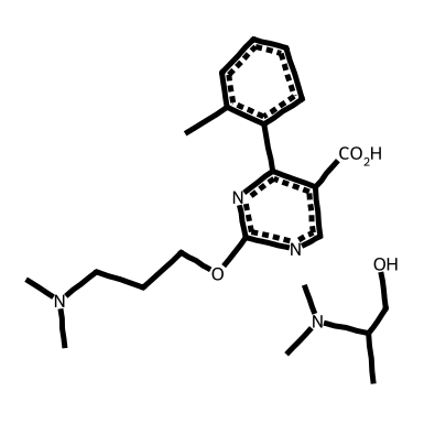 CC(CO)N(C)C.Cc1ccccc1-c1nc(OCCCN(C)C)ncc1C(=O)O